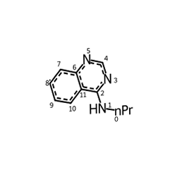 CCCNc1ncnc2c[c]ccc12